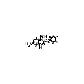 Cl.N[C@@H]1CC[C@@H](NC(=O)OCc2ccccc2)[C@@H](O)C1